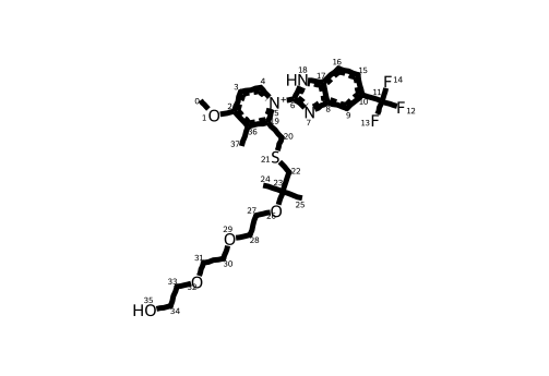 COc1cc[n+](-c2nc3cc(C(F)(F)F)ccc3[nH]2)c(CSCC(C)(C)OCCOCCOCCO)c1C